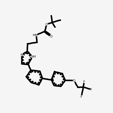 CC(C)(C)OC(=O)NCCc1ncc(-c2cccc(-c3ccc(OCC(F)(F)F)cc3)c2)[nH]1